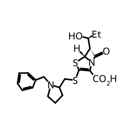 CC[C@H](O)[C@@H]1C(=O)N2C(C(=O)O)=C(SCC3CCCN3Cc3ccccc3)S[C@H]12